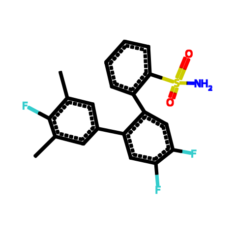 Cc1cc(-c2cc(F)c(F)cc2-c2ccccc2S(N)(=O)=O)cc(C)c1F